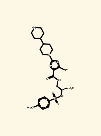 COc1ccc(S(=O)(=O)N[C@@H](CNC(=O)c2sc(N3CCC(C4CCNCC4)CC3)nc2C(C)C)C(=O)O)cc1